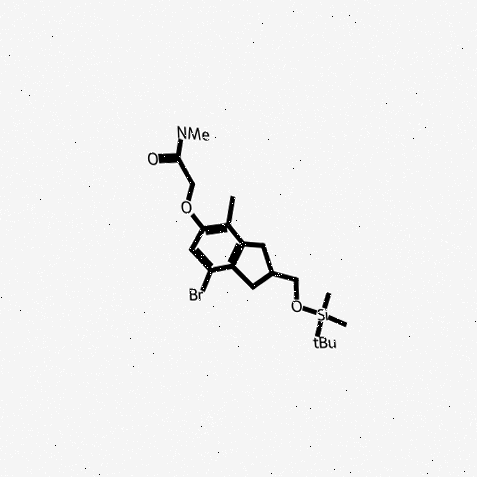 CNC(=O)COc1cc(Br)c2c(c1C)CC(CO[Si](C)(C)C(C)(C)C)C2